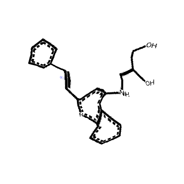 OCC(O)CNc1cc(/C=C/c2ccccc2)nc2ccccc12